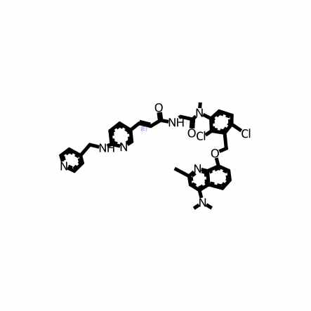 Cc1cc(N(C)C)c2cccc(OCc3c(Cl)ccc(N(C)C(=O)CNC(=O)/C=C/c4ccc(NCc5ccncc5)nc4)c3Cl)c2n1